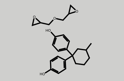 C(OCC1CO1)C1CO1.CC1CCCC(c2ccc(O)cc2)(c2ccc(O)cc2)C1